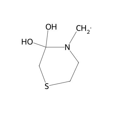 [CH2]N1CCSCC1(O)O